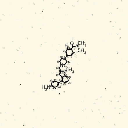 CN(C)C(=O)c1ccc(C2=CCN(Cc3cc4c(-c5ccc(N)nc5)ccnc4n3C)CC2)cc1F